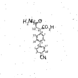 N#Cc1ccc(-c2ccc(C(CC(N)=O)C(=O)O)cc2)cc1